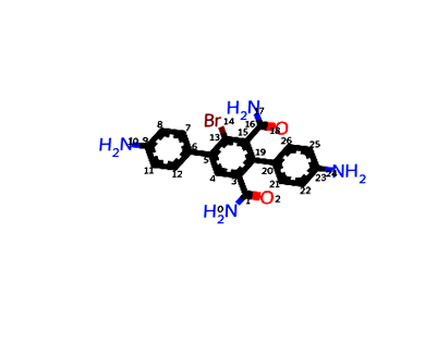 NC(=O)c1cc(-c2ccc(N)cc2)c(Br)c(C(N)=O)c1-c1ccc(N)cc1